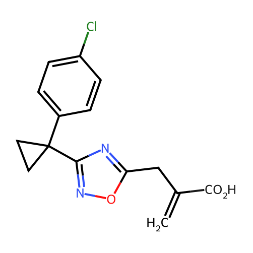 C=C(Cc1nc(C2(c3ccc(Cl)cc3)CC2)no1)C(=O)O